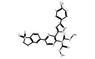 CC(C)(C)OC(=O)N(C(=O)OC(C)(C)C)c1ncc(-c2ccc3c(c2)CCS3(=O)=O)nc1-c1cc(-c2ccc(C#N)cc2)no1